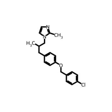 Cc1nccn1CC(C)Cc1ccc(OCc2ccc(Cl)cc2)cc1